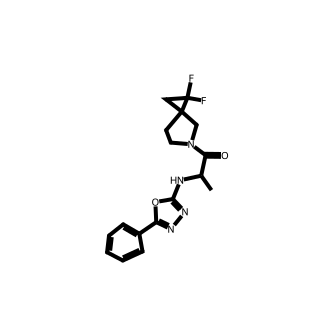 CC(Nc1nnc(-c2ccccc2)o1)C(=O)N1CCC2(C1)CC2(F)F